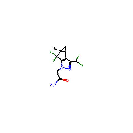 NC(=O)Cn1nc(C(F)F)c2c1C(F)(F)[C@@H]1CC21